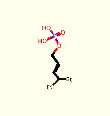 CCC(C=CCOP(=O)(O)O)CC